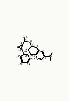 CC(C)c1cnc2c(c1)CC(CC(C)C1CC1c1ccccc1)CC2